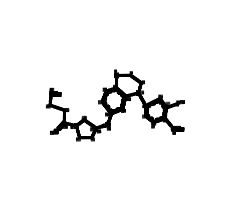 COc1ncc(N2CCOc3ccc(O[C@H]4CCN(C(=O)CCSC)C4)cc32)cc1F